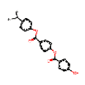 CCCC(CCC)c1ccc(OC(=O)c2ccc(OC(=O)c3ccc(O)cc3)cc2)cc1